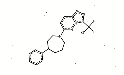 FC(F)(Cl)c1nnc2ccc(N3CCCC(c4ccccc4)CC3)nn12